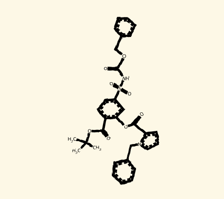 CC(C)(C)OC(=O)c1ccc(S(=O)(=O)NC(=O)OCc2ccccc2)cc1OC(=O)c1cccn1Cc1ccccc1